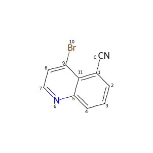 N#Cc1cccc2nccc(Br)c12